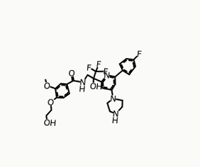 COc1cc(C(=O)NCC(O)(c2cc(N3CCNCC3)cc(-c3ccc(F)cc3)n2)C(F)(F)F)ccc1OCCO